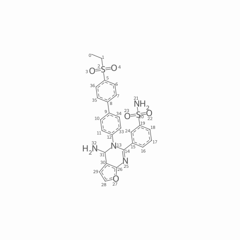 CCS(=O)(=O)c1ccc(-c2ccc(N3C(c4cccc(S(N)(=O)=O)c4)=Nc4occc4C3N)cc2)cc1